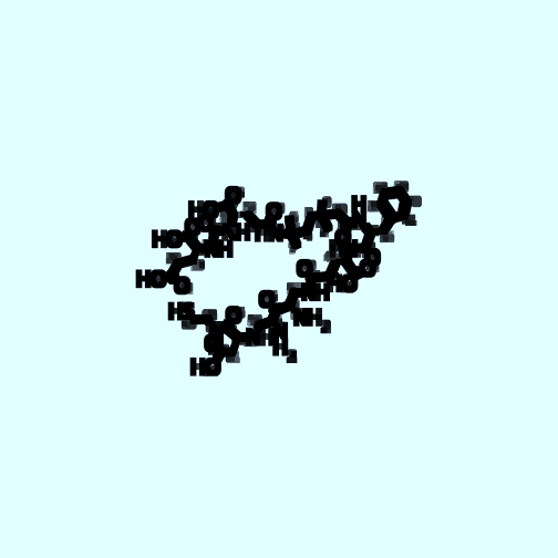 CC(C)(CCC(C)(C)NC(=O)CC[C@H](NC(=O)N[C@@H](CCC(=O)O)C(=O)O)C(=O)O)CC(=O)N[C@@H](Cc1ccccc1)C(=O)N[C@@H](CCC(=O)NC[C@H](N)C(=O)C(N)CN[C@@H](CC(=O)O)C(=O)NCCS)C(=O)O